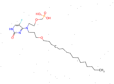 CCCCCCCCCCCCCCCCOCCCN(CCOCP(=O)(O)O)c1nc(=O)[nH]cc1F